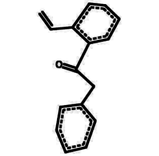 C=Cc1ccccc1C(=O)Cc1ccccc1